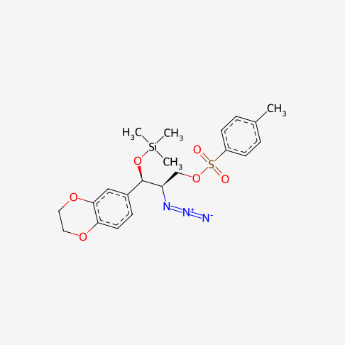 Cc1ccc(S(=O)(=O)OC[C@@H](N=[N+]=[N-])[C@H](O[Si](C)(C)C)c2ccc3c(c2)OCCO3)cc1